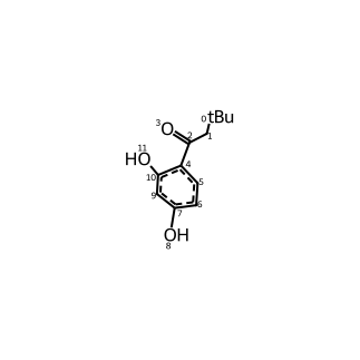 CC(C)(C)CC(=O)c1ccc(O)cc1O